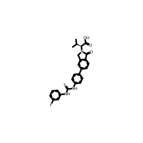 CC(C)[C@@H](C(=O)O)N1Cc2cc(-c3ccc(NC(=S)Nc4cccc(F)c4)cc3)ccc2C1=O